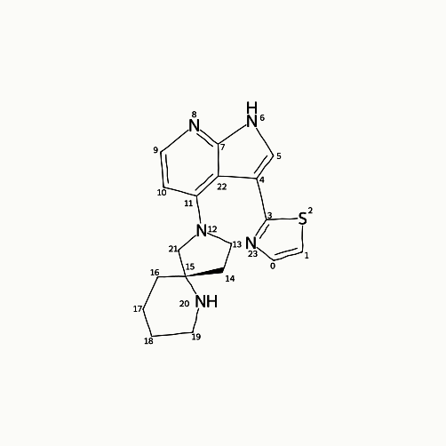 c1csc(-c2c[nH]c3nccc(N4CC[C@@]5(CCCCN5)C4)c23)n1